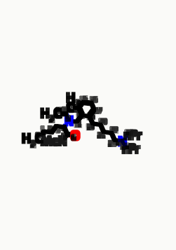 C=CCCC(C(=O)NC)N(C=C)Cc1c(C)cccc1CCCCCN(CCC)CCC